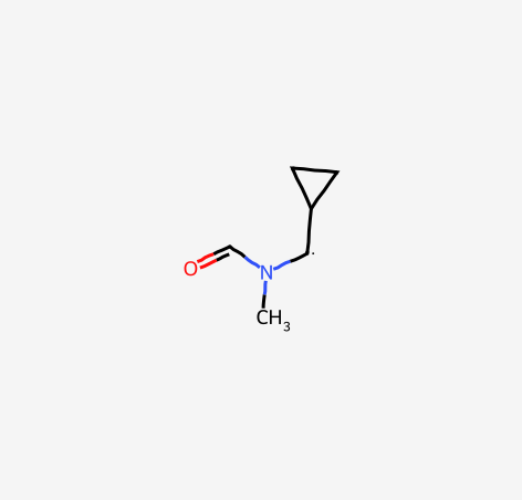 CN([CH]C1CC1)C=O